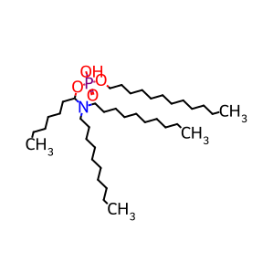 CCCCCCCCCCCCOP(=O)(O)OC(CCCCCC)N(CCCCCCCCCC)CCCCCCCCCC